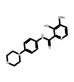 COc1ccnc(C(=O)Nc2ccc(N3CCOCC3)cc2)c1O